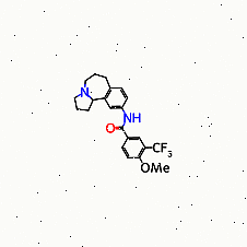 COc1ccc(C(=O)Nc2ccc3c(c2)C2CCCN2CCC3)cc1C(F)(F)F